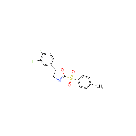 Cc1ccc(S(=O)(=O)C2=NCC(c3ccc(F)c(F)c3)O2)cc1